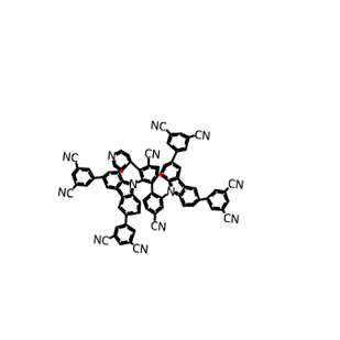 N#Cc1cc(C#N)cc(-c2ccc3c(c2)c2cc(-c4cc(C#N)cc(C#N)c4)ccc2n3-c2cc(C#N)ccc2-c2ccc(C#N)c(-c3ccncc3)c2-n2c3ccc(-c4cc(C#N)cc(C#N)c4)cc3c3cc(-c4cc(C#N)cc(C#N)c4)ccc32)c1